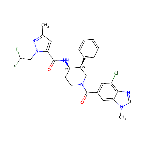 Cc1cc(C(=O)N[C@@H]2CCN(C(=O)c3cc(Cl)c4ncn(C)c4c3)C[C@@H]2c2ccccc2)n(CC(F)F)n1